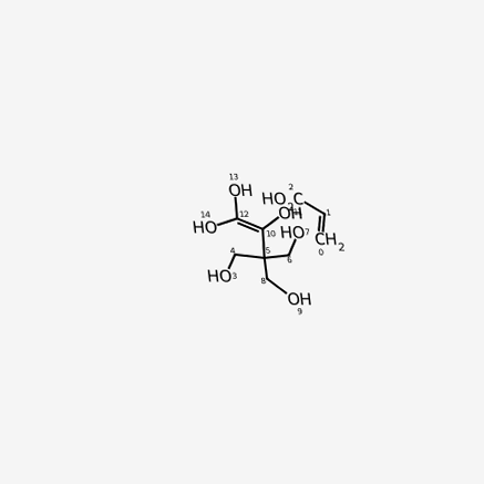 C=CC(=O)O.OCC(CO)(CO)C(O)=C(O)O